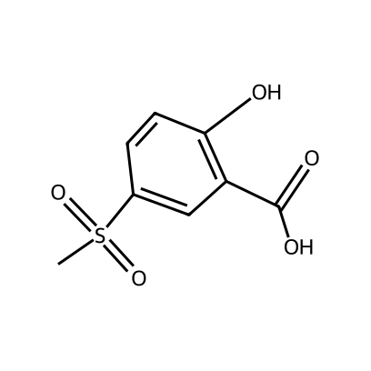 CS(=O)(=O)c1ccc(O)c(C(=O)O)c1